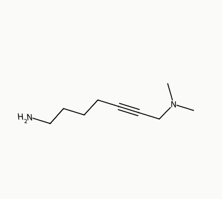 CN(C)CC#CCCCCN